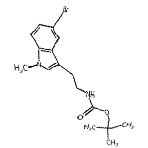 Cn1cc(CCNC(=O)OC(C)(C)C)c2cc(Br)ccc21